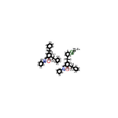 CC(C)(c1ccccc1)c1cc(/C=N/c2ccccc2)c([O-])c(C(C)(C)c2ccccc2)c1.CC(C)(c1ccccc1)c1cc(/C=N/c2ccccc2)c([O-])c(C(C)(C)c2ccccc2)c1.[Cl-].[Cl-].[Ti+4]